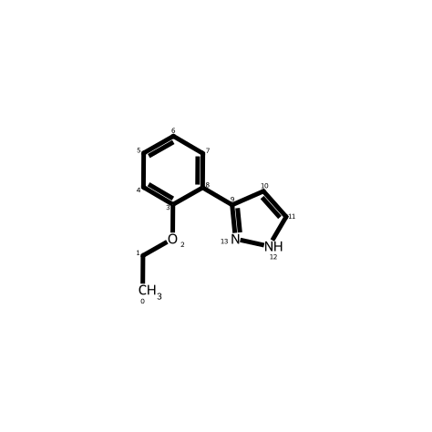 CCOc1ccccc1-c1cc[nH]n1